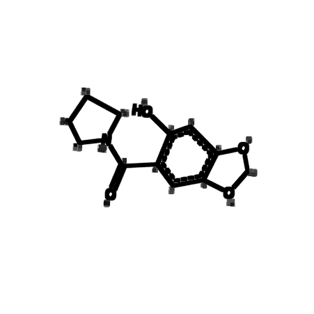 O=C(c1cc2c(cc1O)OCO2)N1CCCC1